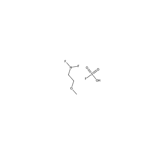 COCCN(F)F.O=S(=O)(O)F